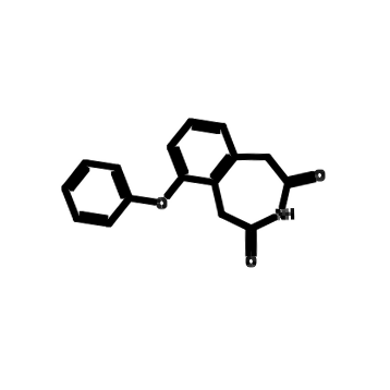 O=C1Cc2cccc(Oc3ccccc3)c2CC(=O)N1